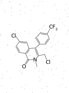 Cn1c(CCl)c(-c2ccc(C(F)(F)F)cc2)c2cc(Cl)ccc2c1=O